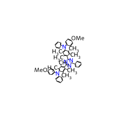 COc1ccc(N(c2ccccc2)c2c(C)c(C)c(-c3nc(-c4ccccc4)nc(-c4c(C)c(C)c(N(c5ccccc5)c5ccc(OC)cc5)c(C)c4C)n3)c(C)c2C)cc1